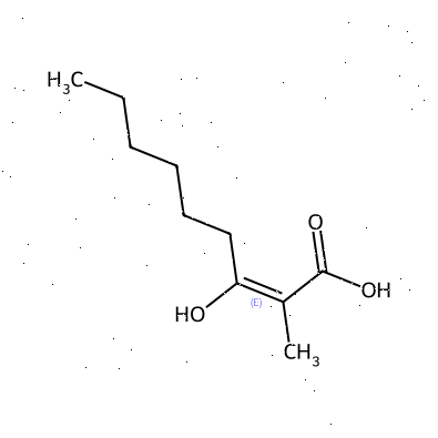 CCCCCC/C(O)=C(/C)C(=O)O